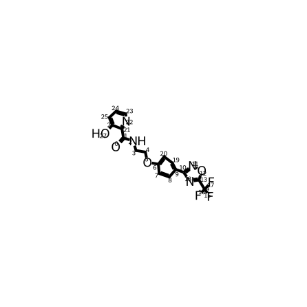 O=C(NCCOc1ccc(-c2noc(C(F)(F)F)n2)cc1)c1ncccc1O